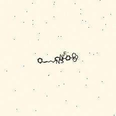 Fc1cc(C2OCCCO2)ccc1-c1nc2ccc(CCCC=Cc3ccccc3)nc2s1